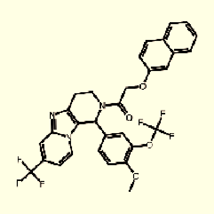 COc1ccc(C2c3c(nc4cc(C(F)(F)F)ccn34)CCN2C(=O)COc2ccc3ccccc3c2)cc1OC(F)(F)F